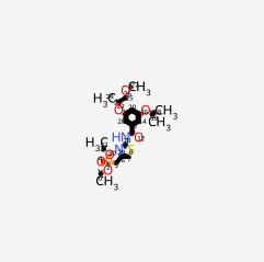 CCOP(=O)(Cc1csc(NC(=O)c2cc(OC(C)C)cc(O[C@@H](C)COC)c2)n1)OCC